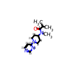 CC(C)C(=O)N(C)C1CCN(c2ccncn2)CC1